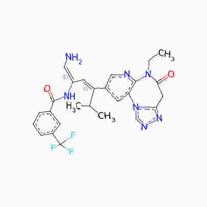 CCN1C(=O)Cc2nncn2-c2cc(/C(=C/C(=C\N)NC(=O)c3cccc(C(F)(F)F)c3)C(C)C)cnc21